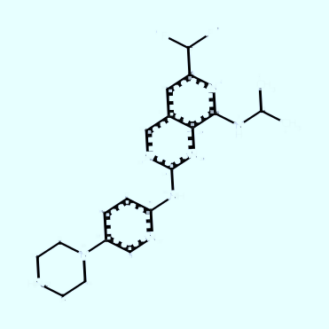 CC(C)Nc1nc(C(F)F)cc2cnc(Nc3ccc(N4CCNCC4)cn3)nc12